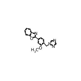 COc1cc(-c2nc3ccccc3o2)ccc1Cn1cncn1